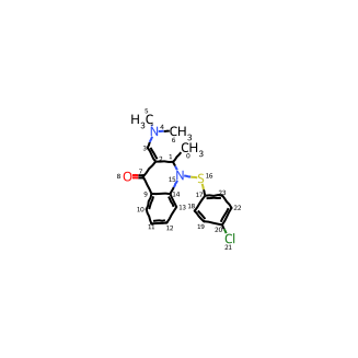 CC1C(=CN(C)C)C(=O)c2ccccc2N1Sc1ccc(Cl)cc1